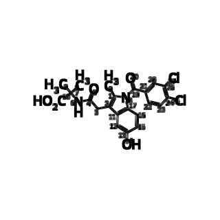 Cc1c(CC(=O)NC(C)(C)C(=O)O)c2cc(O)ccc2n1C(=O)c1ccc(Cl)c(Cl)c1